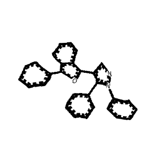 c1ccc(-c2oc(-c3cnn(-c4ccccc4)c3-c3ccccc3)c3ccccc23)cc1